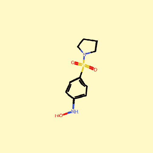 O=S(=O)(c1ccc(NO)cc1)N1CCCC1